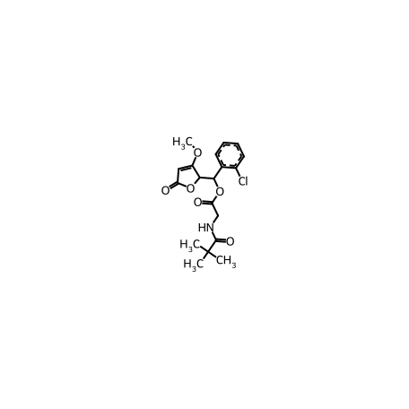 COC1=CC(=O)OC1C(OC(=O)CNC(=O)C(C)(C)C)c1ccccc1Cl